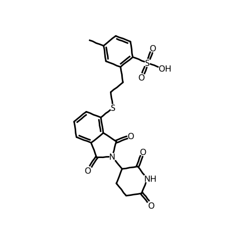 Cc1ccc(S(=O)(=O)O)c(CCSc2cccc3c2C(=O)N(C2CCC(=O)NC2=O)C3=O)c1